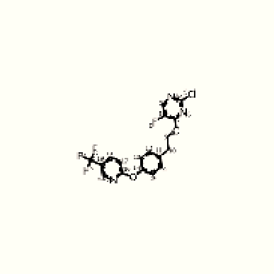 Fc1cnc(Cl)nc1OCCc1ccc(Oc2ccc(C(F)(F)F)cn2)cc1